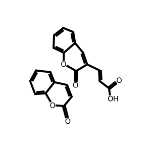 O=C(O)C=Cc1cc2ccccc2oc1=O.O=c1ccc2ccccc2o1